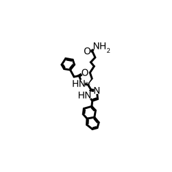 NC(=O)CCCCC[C@H](NC(=O)Cc1ccccc1)c1ncc(-c2ccc3ccccc3c2)[nH]1